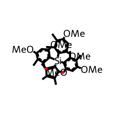 COc1cc(OC)c([Si](C2=C(C)C(C)=C(C)C2C)(c2c(OC)cc(OC)c(C)c2C)c2c(OC)cc(OC)c(C)c2C)c(C)c1C